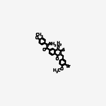 COc1ccc(N(N)C(=O)c2ccc3c(=O)n(Cc4ccc(OC)c(Br)c4)c(=S)n(N)c3c2)cc1